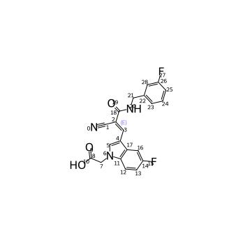 N#C/C(=C\c1cn(CC(=O)O)c2ccc(F)cc12)C(=O)NCc1cccc(F)c1